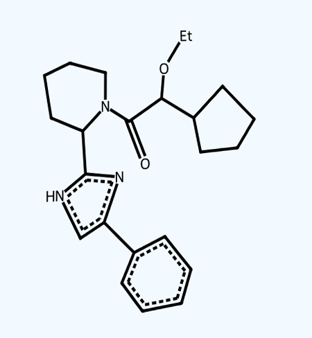 CCOC(C(=O)N1CCCCC1c1nc(-c2ccccc2)c[nH]1)C1CCCC1